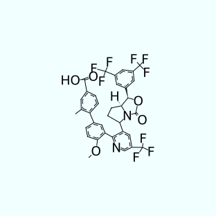 COc1ccc(-c2ccc(C(=O)O)cc2C)cc1-c1ncc(C(F)(F)F)cc1C1CC[C@H]2[C@@H](c3cc(C(F)(F)F)cc(C(F)(F)F)c3)OC(=O)N12